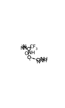 Cc1ncn(-c2cc(NC(=O)c3ccc(C)c(C#Cc4cnc5c(c4)CNN5)c3)cc(C(F)(F)F)c2)n1